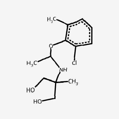 Cc1cccc(Cl)c1OC(C)NC(C)(CO)CO